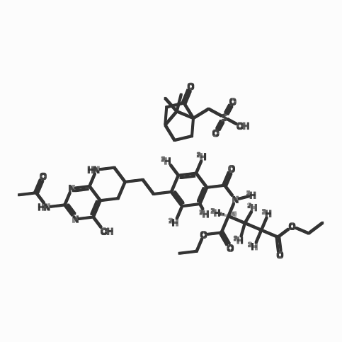 CC1(C)C2CCC1(CS(=O)(=O)O)C(=O)C2.[2H]c1c([2H])c(C(=O)N([2H])[C@]([2H])(C(=O)OCC)C([2H])([2H])C([2H])([2H])C(=O)OCC)c([2H])c([2H])c1CCC1CNc2nc(NC(C)=O)nc(O)c2C1